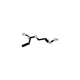 C=C[C@@H](CC)OC/C=N/O